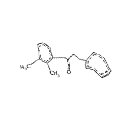 Cc1cccc(C(=O)Cc2ccccc2)c1C